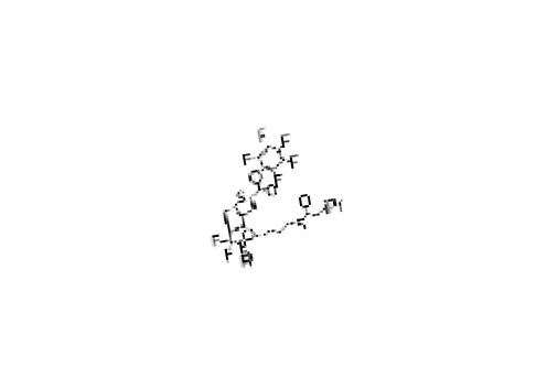 CC(C)CC(=O)SCCCCO[PH](=O)C(F)(F)c1ccc2sc(C(=O)Oc3c(F)c(F)c(F)c(F)c3F)cc2c1